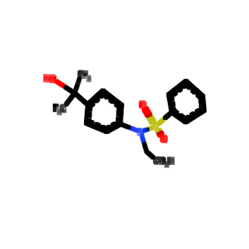 O=C(O)CN(c1ccc(C(O)(C(F)(F)F)C(F)(F)F)cc1)S(=O)(=O)c1ccccc1